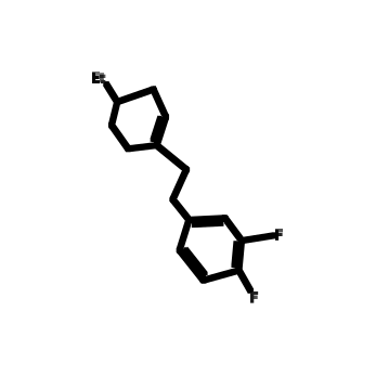 CCC1CC=C(CCc2ccc(F)c(F)c2)CC1